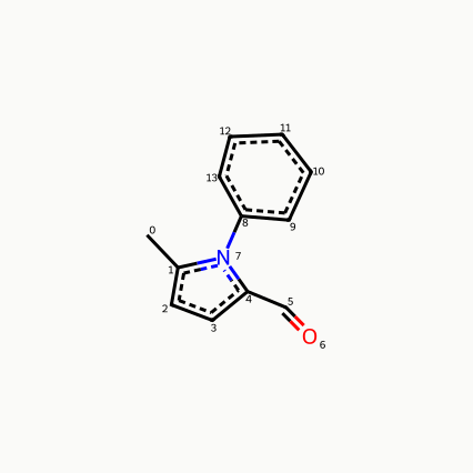 Cc1ccc(C=O)n1-c1ccccc1